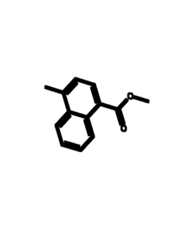 COC(=O)c1ccc(C)c2ccccc12